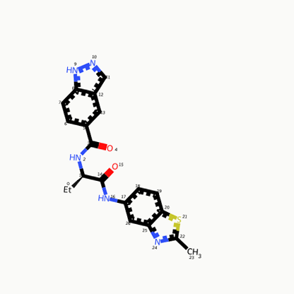 CC[C@@H](NC(=O)c1ccc2[nH]ncc2c1)C(=O)Nc1ccc2sc(C)nc2c1